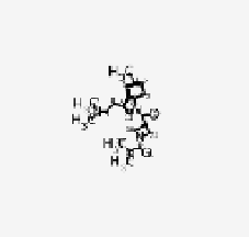 Cc1ccc2c(c1)c(CCN(C)C)cn2C(=O)C1CN(C(=O)C(C)C)C1